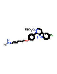 CCOC(=O)N1CCc2c([nH]c3ccc(Cl)cc23)C1c1ccc(OCCCCCCNC(C)C)cc1